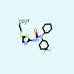 O=C(O)CCSc1cnc(NC(=O)N(C2CCCCC2)C2CCC(F)(F)CC2)s1